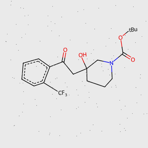 CC(C)(C)OC(=O)N1CCCC(O)(CC(=O)c2ccccc2C(F)(F)F)C1